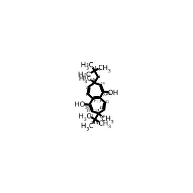 CC(C)(C)CC1(C)C=CC2=C(C=CC(C)(C(C)(C)C)C=C2O)C(O)=C1